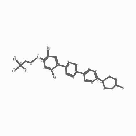 CCc1cc(-c2ccc(-c3ccc(C4CCC(C)CC4)cc3)cc2)c(CC)cc1OCCC(CC)(CC)CC